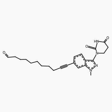 Cn1nc(N2CCC(=O)NC2=O)c2ccc(C#CCCCCCCCCC=O)cc21